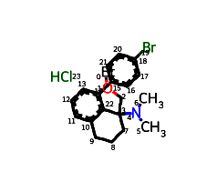 CCOCC1(N(C)C)CCCc2cccc(-c3ccc(Br)cc3)c21.Cl